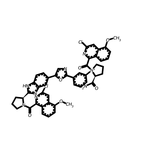 COc1cccc2c(C(=O)N3CCC[C@H]3c3nc4cc(-c5cnc(-c6cccc([N+]7(C(=O)c8nc(Cl)cc9c(OC)cccc89)CCC[C@H]7C(N)=O)c6)o5)ccc4[nH]3)nc(Cl)cc12